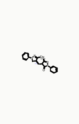 CC1=NN(c2ccccc2)C/C1=C/C1C(=O)N(c2ccccc2)N=C1C